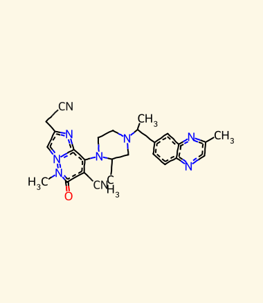 Cc1cnc2ccc(C(C)N3CCN(c4c(C#N)c(=O)n(C)n5cc(CC#N)nc45)C(C)C3)cc2n1